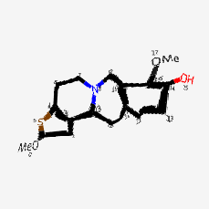 COc1cc2c(s1)CCN1Cc3c(ccc(O)c3OC)CC21